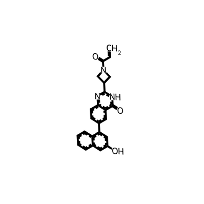 C=CC(=O)N1CC(c2nc3ccc(-c4cc(O)cc5ccccc45)cc3c(=O)[nH]2)C1